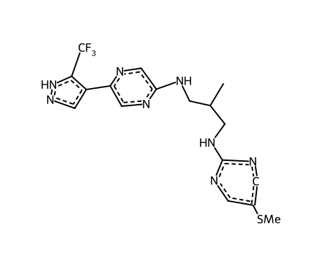 CSc1cnc(NCC(C)CNc2cnc(-c3cn[nH]c3C(F)(F)F)cn2)nc1